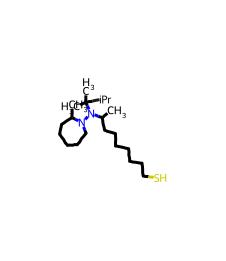 CC1CCCCCN1N(C(C)CCCCCCCS)C(C)(C)C(C)C